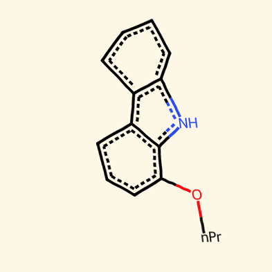 CCCOc1cccc2c1[nH]c1ccccc12